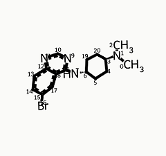 CN(C)[C@H]1CC[C@H](Nc2ncnc3ccc(Br)cc23)CC1